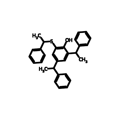 CC(Sc1cc(C(C)c2ccccc2)cc(C(C)c2ccccc2)c1O)c1ccccc1